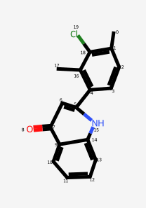 Cc1ccc(-c2cc(=O)c3ccccc3[nH]2)c(C)c1Cl